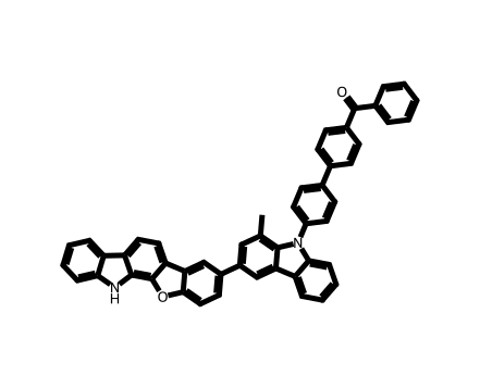 Cc1cc(-c2ccc3oc4c(ccc5c6ccccc6[nH]c54)c3c2)cc2c3ccccc3n(-c3ccc(-c4ccc(C(=O)c5ccccc5)cc4)cc3)c12